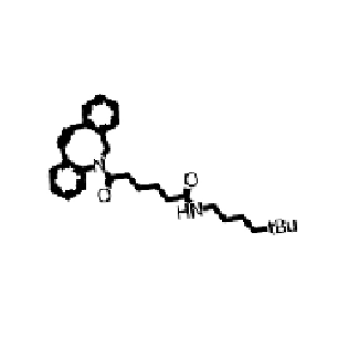 CC(C)(C)CCCCNC(=O)CCCCC(=O)N1Cc2ccccc2C#Cc2ccccc21